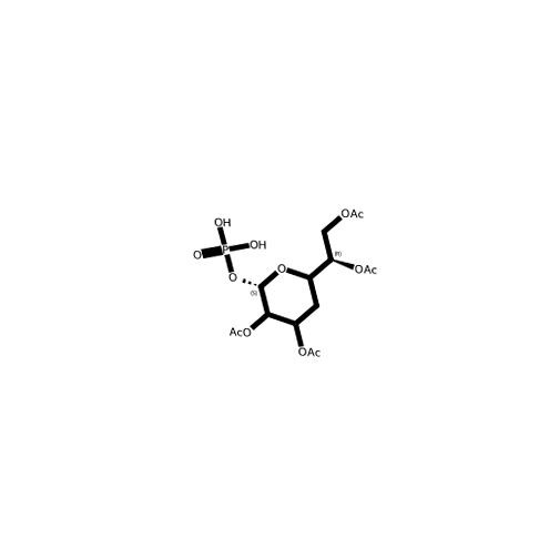 CC(=O)OC[C@@H](OC(C)=O)C1CC(OC(C)=O)C(OC(C)=O)[C@H](OP(=O)(O)O)O1